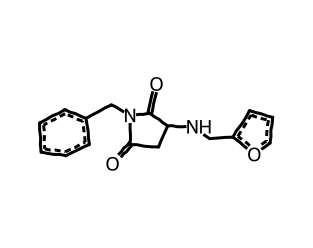 O=C1CC(NCc2ccco2)C(=O)N1Cc1ccccc1